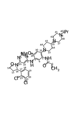 C=CC(=O)Nc1cc(Nc2cc(N3OCCC3c3cccc(Cl)c3Cl)ncn2)c(OC)cc1N1CCC(N2CCN(C(C)C)CC2)CC1